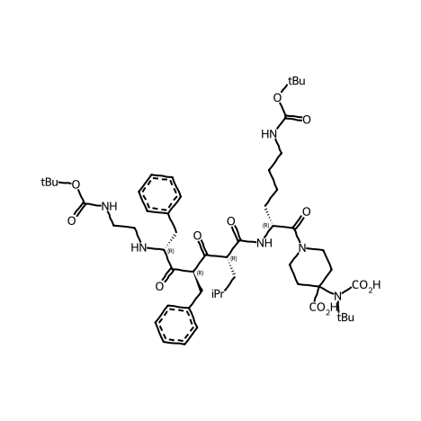 CC(C)C[C@@H](C(=O)N[C@H](CCCCNC(=O)OC(C)(C)C)C(=O)N1CCC(C(=O)O)(N(C(=O)O)C(C)(C)C)CC1)C(=O)[C@@H](Cc1ccccc1)C(=O)[C@@H](Cc1ccccc1)NCCNC(=O)OC(C)(C)C